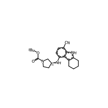 CC(C)(C)OC(=O)N1CC[C@H](Nc2ccc(C#N)c3[nH]c4c(c23)CCCC4)C1